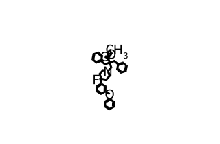 COC(=O)C(Cc1ccccc1)(Cc1ccccc1)CN1CCC(F)(c2cccc(Oc3ccccc3)c2)CC1